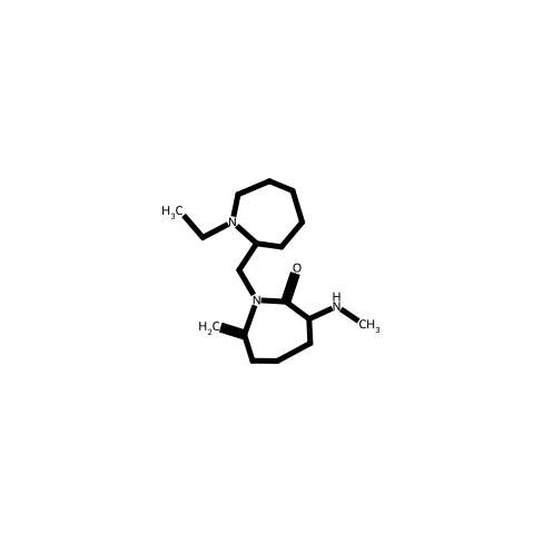 C=C1CCCC(NC)C(=O)N1CC1CCCCCN1CC